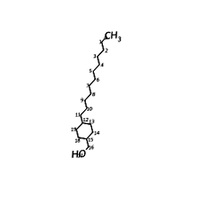 CCCCCCCCCCCCC1CCC(CO)CC1